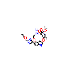 CCCOCc1ncc(-c2ccc3ncc4cc3c2OCCCNC(=O)[C@@H]2C[C@H](CCN2C(=O)OC(C)(C)C)O4)cn1